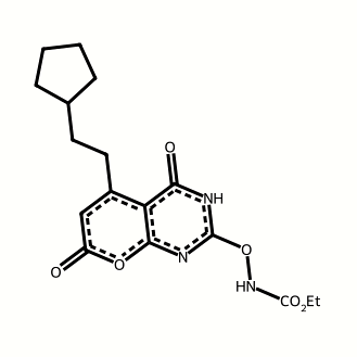 CCOC(=O)NOc1nc2oc(=O)cc(CCC3CCCC3)c2c(=O)[nH]1